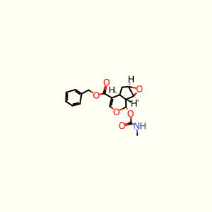 CNC(=O)O[C@@H]1OC=C(C(=O)OCc2ccccc2)[C@H]2C[C@H]3O[C@@]3(C)[C@H]12